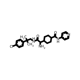 CC(C)(CNC(=O)C(N)C1CCC(C(=O)Nc2ccncc2)CC1)c1ccc(Cl)cc1